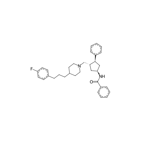 O=C(N[C@H]1C[C@H](CN2CCC(CCCc3ccc(F)cc3)CC2)[C@@H](c2ccccc2)C1)c1ccccc1